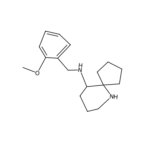 COc1ccccc1CNC1CCCNC12CCCC2